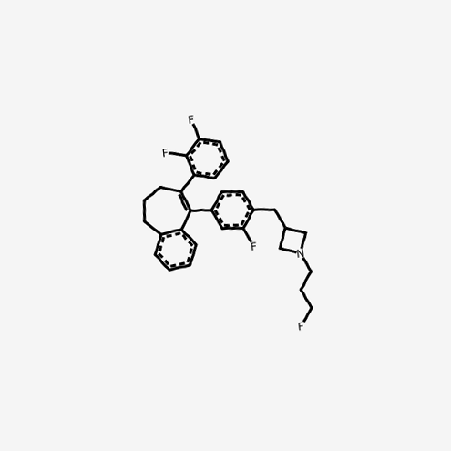 FCCCN1CC(Cc2ccc(C3=C(c4cccc(F)c4F)CCCc4ccccc43)cc2F)C1